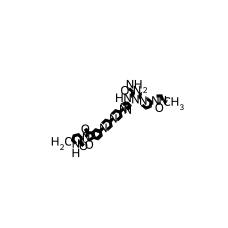 C=C1CCC(N2C(=O)c3ccc(N4CCC(N5CCC(n6cc(Nc7nc(N8CCC[C@H](N9CCN(C)C9=O)C8)cnc7C(N)=O)cn6)CC5)CC4)cc3C2=O)C(=O)N1